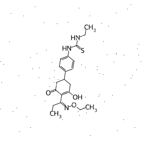 CCNC(=S)Nc1ccc(C2CC(=O)C(/C(CC)=N\OCC)=C(O)C2)cc1